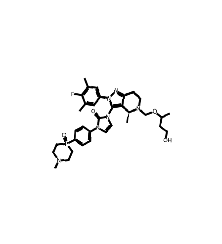 Cc1cc(-n2nc3c(c2-n2ccn(-c4ccc(P5(=O)CCN(C)CC5)cc4)c2=O)[C@H](C)N(COC(C)CCO)CC3)cc(C)c1F